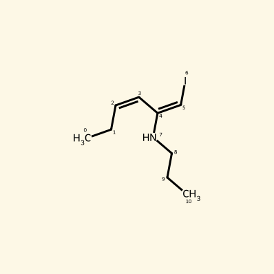 CC/C=C\C(=C/I)NCCC